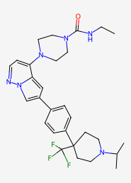 CCNC(=O)N1CCN(c2ccnn3cc(-c4ccc(C5(C(F)(F)F)CCN(C(C)C)CC5)cc4)cc23)CC1